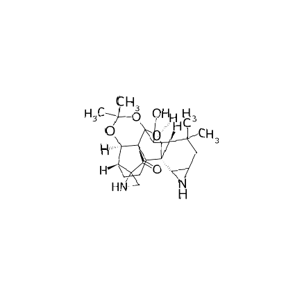 CC1(C)O[C@@H]2[C@H]3CCC4[C@@]56COC(O1)([C@@H](O)[C@@H]5C(C)(C)CC1NC16)[C@]42C(=O)C31CN1